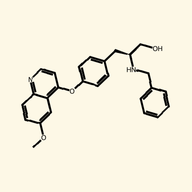 COc1ccc2nccc(Oc3ccc(C[C@@H](CO)NCc4ccccc4)cc3)c2c1